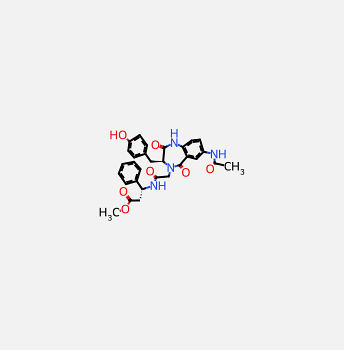 COC(=O)C[C@@H](NC(=O)CN1C(=O)c2cc(NC(C)=O)ccc2NC(=O)[C@@H]1Cc1ccc(O)cc1)c1ccccc1